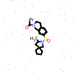 CC(C)C(=O)N1CCc2ccc([S+]([O-])N3CC4(CCCC4)CC3C)cc2C1